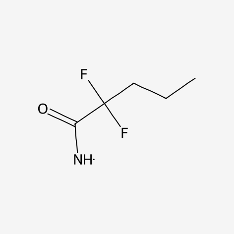 CCCC(F)(F)C([NH])=O